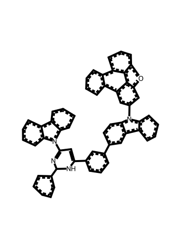 C1=C(c2cccc(-c3ccc4c(c3)c3ccccc3n4-c3cc4oc5cccc6c7ccccc7c(c3)c4c56)c2)NC(c2ccccc2)N=C1n1c2ccccc2c2ccccc21